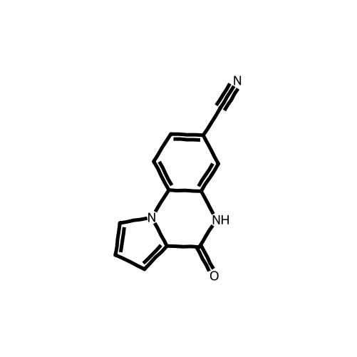 N#Cc1ccc2c(c1)[nH]c(=O)c1cccn12